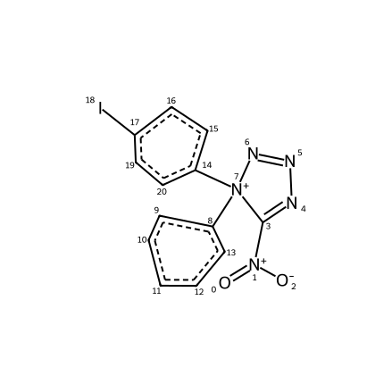 O=[N+]([O-])C1=NN=N[N+]1(c1ccccc1)c1ccc(I)cc1